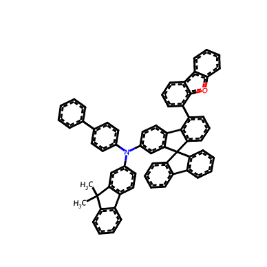 CC1(C)c2ccccc2-c2ccc(N(c3ccc(-c4ccccc4)cc3)c3ccc4c(c3)C3(c5ccccc5-c5ccccc53)c3cccc(-c5cccc6c5oc5ccccc56)c3-4)cc21